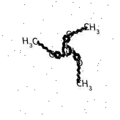 CCCCCCCCOc1ccc(CN2CCN(Cc3ccc(OCCCCCCCC)cc3)CCN(Cc3ccc(OCCCCCCCC)cc3)CC2)cc1